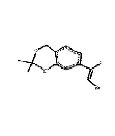 CC1(C)OCc2ccc(C(F)=CBr)cc2O1